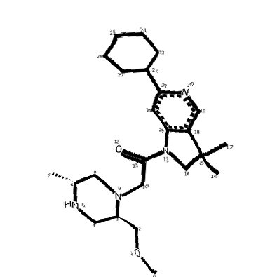 COC[C@H]1CN[C@H](C)CN1CC(=O)N1CC(C)(C)c2cnc(C3CCCCC3)cc21